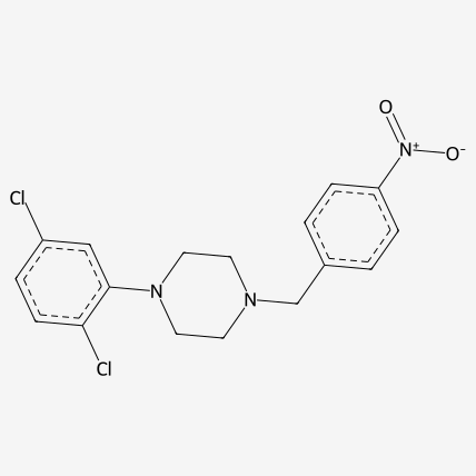 O=[N+]([O-])c1ccc(CN2CCN(c3cc(Cl)ccc3Cl)CC2)cc1